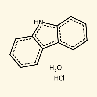 Cl.O.c1ccc2c(c1)[nH]c1ccccc12